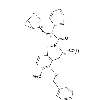 COc1ccc2c(c1OCc1ccccc1)C[C@@H](C(=O)O)N(C(=O)[C@@H](O[C@@H]1CCC3CC31)c1ccccc1)C2